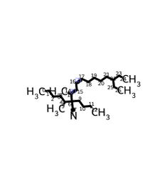 CCCCC(C)C(C#N)(CCCC)/C(C)=C/C=C\CCCCC(CC)CC